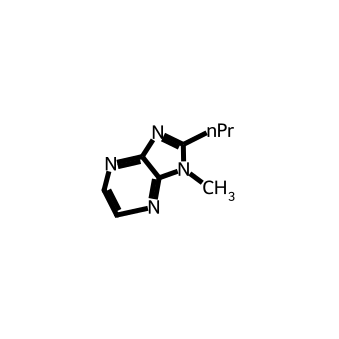 CCCc1nc2nccnc2n1C